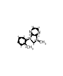 Cc1ccccc1N1CN(C)c2nccnc21